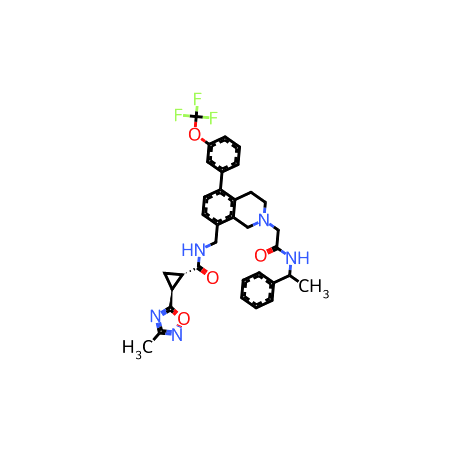 Cc1noc([C@H]2C[C@@H]2C(=O)NCc2ccc(-c3cccc(OC(F)(F)F)c3)c3c2CN(CC(=O)NC(C)c2ccccc2)CC3)n1